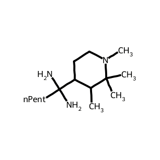 CCCCCC(N)(N)C1CCN(C)C(C)(C)C1C